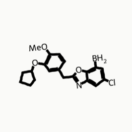 Bc1cc(Cl)cc2nc(Cc3ccc(OC)c(OC4CCCC4)c3)oc12